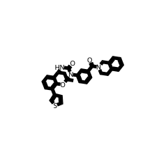 CC12CC(NC(=O)N1c1cccc(C(=O)N3CCc4ccccc4C3)c1)c1cccc(-c3ccsc3)c1O2